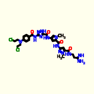 Cn1cc(NC(=O)c2nc(NC(=O)c3ccc(N(CCCl)CCCl)cc3)n[nH]2)cc1C(=O)Nc1cc(C(=O)NCCC(=N)N)n(C)n1